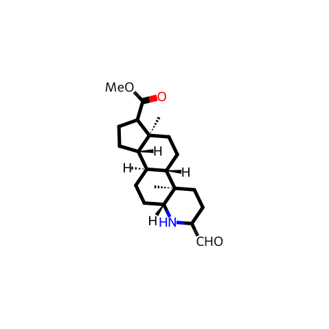 COC(=O)C1CC[C@H]2[C@@H]3CC[C@H]4NC(C=O)CC[C@]4(C)[C@H]3CC[C@]12C